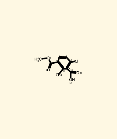 COC(=O)c1ccc(Cl)c(C(=O)O)c1Cl